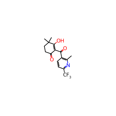 Cc1nc(C(F)(F)F)ccc1C(=O)C1=C(O)C(C)(C)CCC1=O